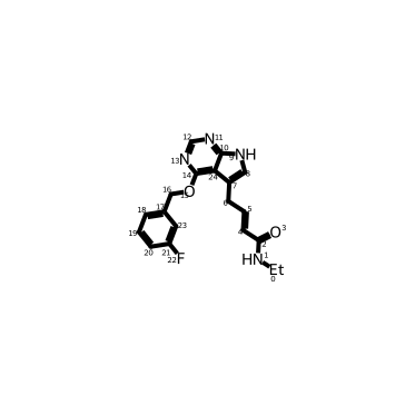 CCNC(=O)C=CCc1c[nH]c2ncnc(OCc3cccc(F)c3)c12